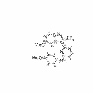 COc1ccc(Nc2ccnc(-c3c(C(F)(F)F)nc4ccc(OC)cn34)n2)cc1